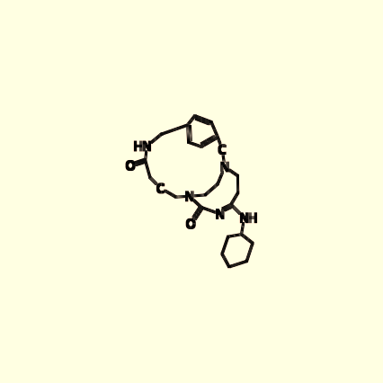 O=C1CCCN2CCN(CC/C(NC3CCCCC3)=N\C2=O)Cc2ccc(cc2)CN1